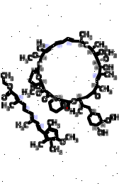 CCOC(=O)/C=C(C)/C=C/C=C(C)/C=C/c1c(C)cc(OC)c(C)c1C.CO[C@H]1C[C@@H]2CC[C@@H](C)[C@@](O)(O2)C(=O)C(=O)N2CCCC[C@H]2C(=O)O[C@H]([C@H](C)C[C@@H]2CC[C@@H](O)[C@H](OC)C2)CC(=O)[C@H](C)/C=C(\C)[C@@H](O)[C@@H](OC)C(=O)[C@H](C)C[C@H](C)/C=C/C=C/C=C/1C